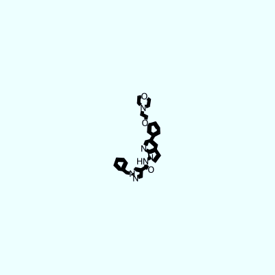 O=C(Nn1ccc2cc(-c3cccc(OCCN4CCOCC4)c3)cnc21)c1cnn(Cc2ccccc2)c1